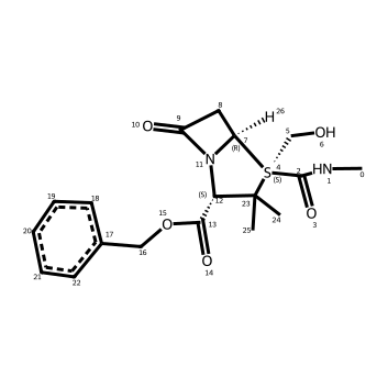 CNC(=O)[S@]1(CO)[C@@H]2CC(=O)N2[C@@H](C(=O)OCc2ccccc2)C1(C)C